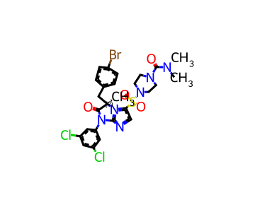 CN(C)C(=O)N1CCN(S(=O)(=O)c2cnc3n2[C@](C)(Cc2ccc(Br)cc2)C(=O)N3c2cc(Cl)cc(Cl)c2)CC1